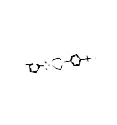 CC(C)(O)c1ccc(N2CCN(S(=O)(=O)c3ccc(Br)s3)CC2)cc1